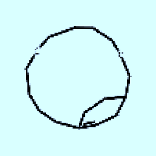 [CH]1C=C2CCCCCCCCCCCC1CC2